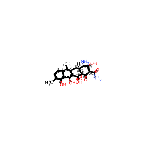 Cc1ccc2c(C)c3c(c(O)c2c1O)C(=O)[C@@]1(O)C(=O)C(C(N)=O)=C(O)[C@@H](N)[C@H]1C3